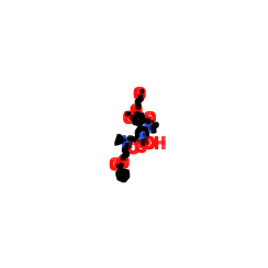 COCCCOc1cc(C(=O)N(C(C)C)[C@@H]2CC[C@H](CCN(C(=O)CCCOC(=O)c3ccccc3)C3CC3)N(C(=O)O)C2)ccc1OC